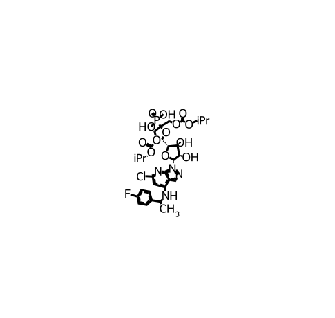 CC(C)OC(=O)OCC(COC(=O)OC(C)C)(OC[C@H]1O[C@@H](n2ncc3c(NC(C)c4ccc(F)cc4)cc(Cl)nc32)[C@H](O)[C@@H]1O)P(=O)(O)O